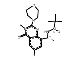 C[C@@H](N[S@+]([O-])C(C)(C)C)c1cc(F)cc2c(=O)n(C)c(N3CCOCC3)nc12